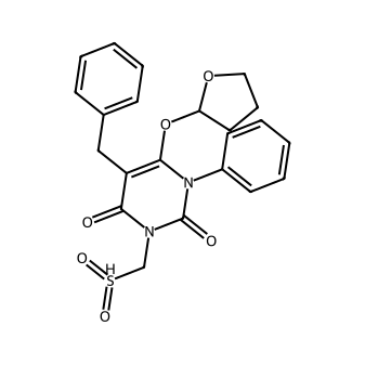 O=c1c(Cc2ccccc2)c(OC2CCCO2)n(-c2ccccc2)c(=O)n1C[SH](=O)=O